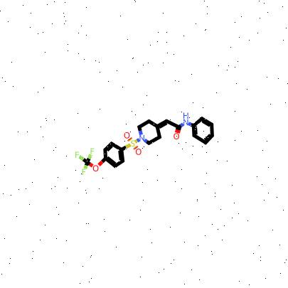 O=C(C=C1CCN(S(=O)(=O)c2ccc(OC(F)(F)F)cc2)CC1)Nc1ccccc1